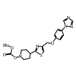 CC(C)(C)OC(=O)ON1CCC(c2nc(COc3ccc(-n4cncn4)cc3)cs2)CC1